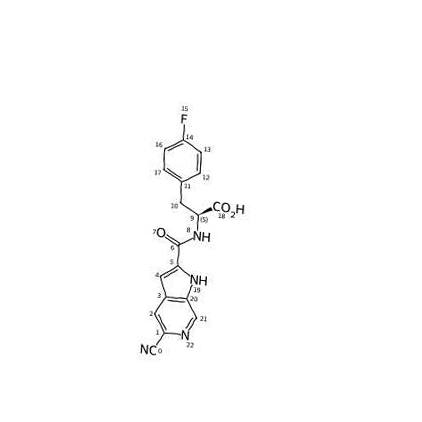 N#Cc1cc2cc(C(=O)N[C@@H](Cc3ccc(F)cc3)C(=O)O)[nH]c2cn1